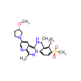 CO[C@H]1CCN(c2cnc3c(C)nnc(N[C@H](C)c4cccc(S(C)(=O)=O)c4C)c3c2)C1